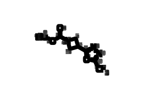 CC(C)(C)OC(=O)N1CC(c2nnc(C(F)(F)F)o2)C1